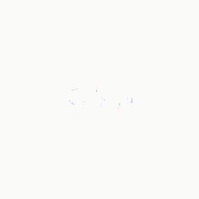 NC(=O)CNC(=O)c1cc(Br)nc(Br)c1